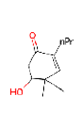 CCCC1=CC(C)(C)C(O)CC1=O